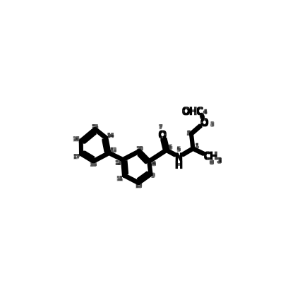 CC(COC=O)NC(=O)c1cccc(-c2ccccc2)c1